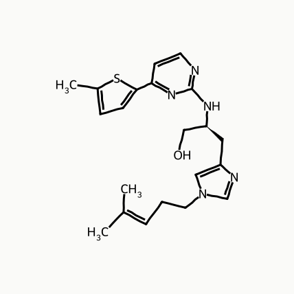 CC(C)=CCCn1cnc(C[C@@H](CO)Nc2nccc(-c3ccc(C)s3)n2)c1